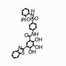 CC(C)c1ccccc1NS(=O)(=O)c1ccc(NC(=O)c2cc(-c3nc4ccccc4s3)c(O)c(O)c2O)cc1